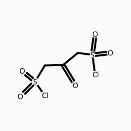 O=C(CS(=O)(=O)Cl)CS(=O)(=O)Cl